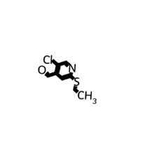 CCSc1cc(C=O)c(Cl)cn1